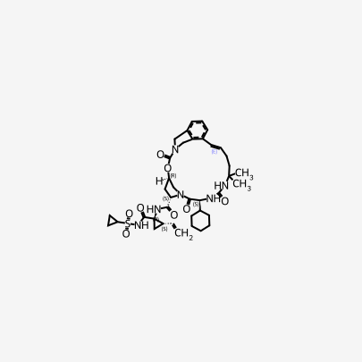 C=C[C@@H]1C[C@]1(NC(=O)[C@@H]1C[C@@H]2CN1C(=O)[C@H](C1CCCCC1)NC(=O)NC(C)(C)CC/C=C/c1cccc3c1CN(C3)C(=O)O2)C(=O)NS(=O)(=O)C1CC1